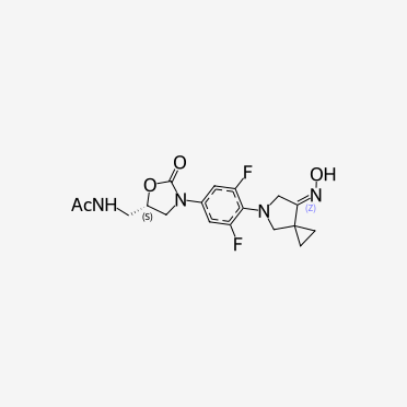 CC(=O)NC[C@H]1CN(c2cc(F)c(N3C/C(=N\O)C4(CC4)C3)c(F)c2)C(=O)O1